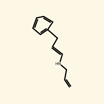 C=CCNC=CCc1ccccc1